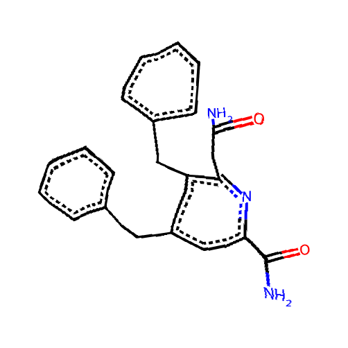 NC(=O)c1cc(Cc2ccccc2)c(Cc2ccccc2)c(C(N)=O)n1